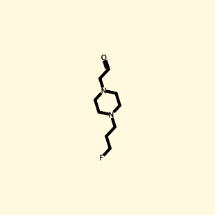 O=CCN1CCN(CCCF)CC1